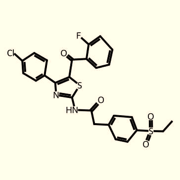 CCS(=O)(=O)c1ccc(CC(=O)Nc2nc(-c3ccc(Cl)cc3)c(C(=O)c3ccccc3F)s2)cc1